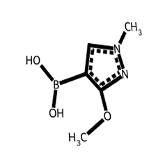 COc1nn(C)cc1B(O)O